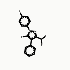 Fc1ccc(-n2nc(C(F)F)c(-c3ccccc3)c2F)cc1